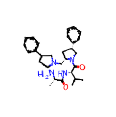 CC(C)[C@H](NC(=O)[C@H](C)N)C(=O)N1C[C@@H](c2ccccc2)C[C@H]1CN1CCC(c2ccccc2)C1